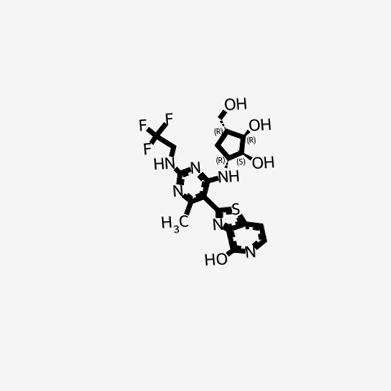 Cc1nc(NCC(F)(F)F)nc(N[C@@H]2C[C@H](CO)[C@@H](O)[C@H]2O)c1-c1nc2c(O)nccc2s1